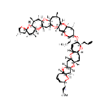 C=CC[C@H]1O[C@H]2C=C[C@H]3O[C@H]4[C@H](C)[C@H]5O[C@@H](/C=C/[C@H](C)CC)C=CC[C@@H]5O[C@@H]4C[C@@H]3O[C@@H]2C=C[C@@H]1O[C@@H]1C[C@@H](C)[C@]2(C)O[C@@H]3C[C@H](C)C[C@@H]4O[C@@H]5[C@@H](C)[C@H](C)[C@@H]6O[C@]7(C[C@H](C)CO7)[C@@H](C)[C@H](C)[C@H]6O[C@H]5C[C@H]4O[C@H]3C[C@H]2O[C@H]1CC(=O)O